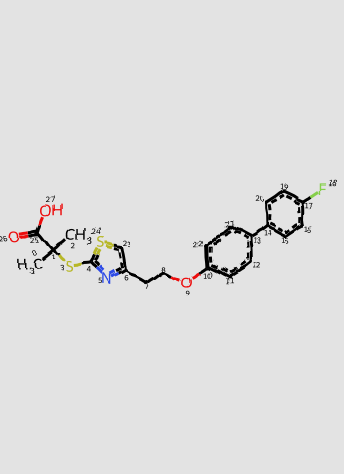 CC(C)(Sc1nc(CCOc2ccc(-c3ccc(F)cc3)cc2)cs1)C(=O)O